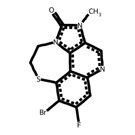 Cn1c(=O)n2c3c4c(c(Br)c(F)cc4ncc31)SCC2